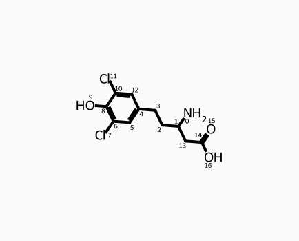 NC(CCc1cc(Cl)c(O)c(Cl)c1)CC(=O)O